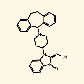 CCn1/c(=N\C#N)n(C2CCN(C3c4ccccc4CCc4ccccc43)CC2)c2ccccc21